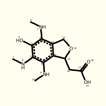 CNc1c(O)c(NC)c(NC)c2c1COC2CC(=O)O